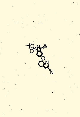 CC(C)(C)OC(=O)n1nc(C2CC2)c2cc(OC3CCCc4cc(C#N)cnc43)ccc21